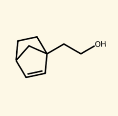 OCCC12C=CC(CC1)C2